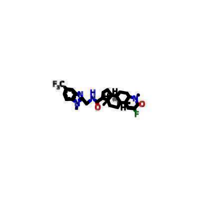 CN1C(=O)C(F)=C[C@@]2(C)C1CC[C@@H]1[C@H]2CC[C@]2(C)C(C(=O)NCc3nc4cc(C(F)(F)F)ccc4n3C)CC[C@@H]12